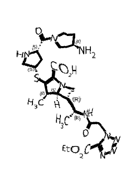 CCOC(=O)c1nnnn1CC(=O)N[C@H](C)[C@H]1CN2C(C(=O)O)=C(S[C@@H]3CN[C@H](C(=O)N4CC[C@@H](N)C4)C3)[C@H](C)[C@H]12